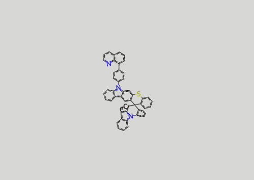 c1ccc2c(c1)Sc1cc3c(cc1C21c2ccccc2-n2c4ccccc4c4cccc1c42)c1ccccc1n3-c1ccc(-c2cccc3cccnc23)cc1